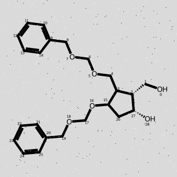 OC[C@H]1C(COCOCc2ccccc2)C(OCOCc2ccccc2)C[C@H]1O